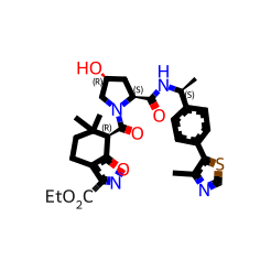 CCOC(=O)c1noc2c1CCC(C)(C)[C@H]2C(=O)N1C[C@H](O)C[C@H]1C(=O)N[C@@H](C)c1ccc(-c2scnc2C)cc1